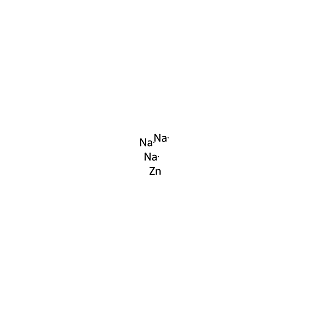 [Na].[Na].[Na].[Zn]